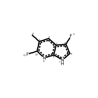 Cc1cc2c(F)c[nH]c2nc1F